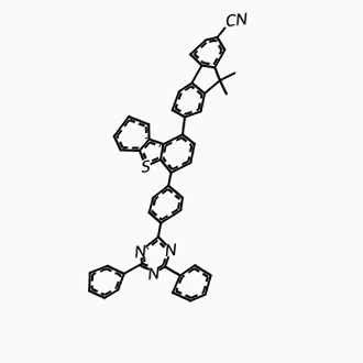 CC1(C)c2cc(C#N)ccc2-c2ccc(-c3ccc(-c4ccc(-c5nc(-c6ccccc6)nc(-c6ccccc6)n5)cc4)c4sc5ccccc5c34)cc21